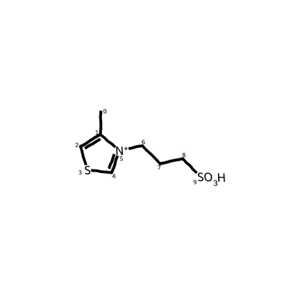 Cc1csc[n+]1CCCS(=O)(=O)O